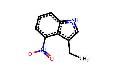 [CH2]Cc1c[nH]c2cccc([N+](=O)[O-])c12